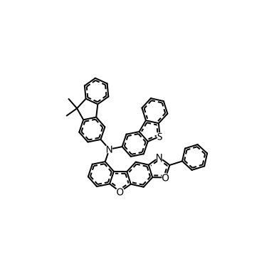 CC1(C)c2ccccc2-c2cc(N(c3ccc4sc5ccccc5c4c3)c3cccc4oc5cc6oc(-c7ccccc7)nc6cc5c34)ccc21